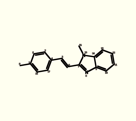 Cc1ccc(/C=C/c2nc3ccccc3n2C)cc1